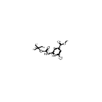 COC(=O)c1cc(Cl)nc(NC(=O)OC(C)(C)C)c1